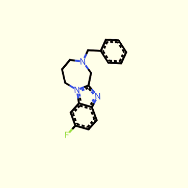 Fc1ccc2nc3n(c2c1)CCCN(Cc1ccccc1)C3